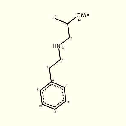 [CH2]C(CNCCc1ccccc1)OC